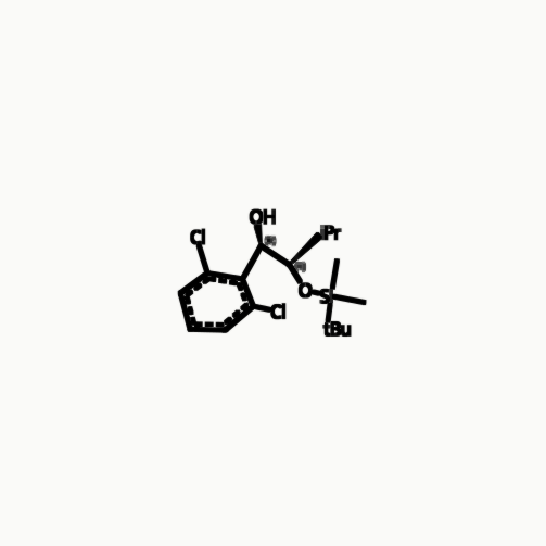 CC(C)[C@@H](O[Si](C)(C)C(C)(C)C)[C@H](O)c1c(Cl)cccc1Cl